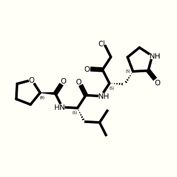 CC(C)C[C@H](NC(=O)[C@H]1CCCO1)C(=O)N[C@@H](C[C@@H]1CCNC1=O)C(=O)CCl